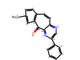 COc1ccc2ccc3ncc(-c4ccccc4)nc3c(=O)c2c1